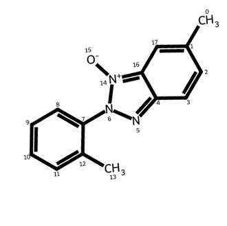 Cc1ccc2nn(-c3ccccc3C)[n+]([O-])c2c1